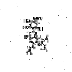 C=C(C)C(CC=C(C)C)Cc1c(O)c(CC=C(C)C)cc2c1O[C@H](c1c(O)cc(OC)c(O)c1O)CC2=O